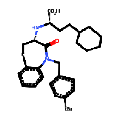 CC(C)(C)c1ccc(CN2C(=O)[C@@H](N[C@@H](CCC3CCCCC3)C(=O)O)CCc3ccccc32)cc1